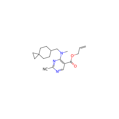 C=CCOC(=O)c1cnc(C#N)nc1N(C)CC1CCC2(CC1)CC2